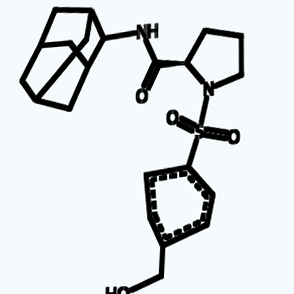 O=C(NC1C2CC3CC(C2)CC1C3)[C@H]1CCCN1S(=O)(=O)c1ccc(CO)cc1